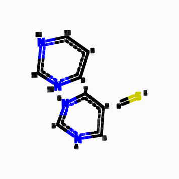 C=S.c1cncnc1.c1cncnc1